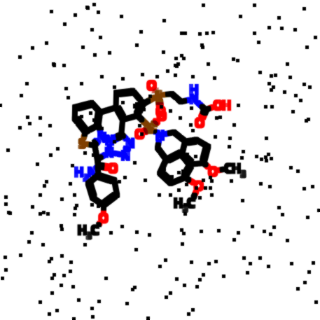 COc1ccc(CN(Cc2ccc(OC)cc2)S(=O)(=O)c2c(S(=O)(=O)CCNC(=O)O)ccc(-c3cccc4sc(C(N)=O)nc34)c2-c2nnn(Cc3ccc(OC)cc3)n2)cc1